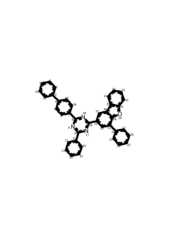 c1ccc(-c2ccc(-c3nc(-c4ccccc4)nc(-c4cc(-c5ccccc5)c5oc6ccccc6c5c4)n3)cc2)cc1